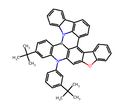 CC(C)(C)c1cccc(N2c3cc(C(C)(C)C)ccc3B3c4c2cc2oc5ccccc5c2c4-c2cccc4c5ccccc5n3c24)c1